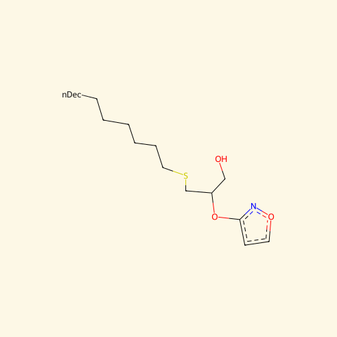 CCCCCCCCCCCCCCCCSCC(CO)Oc1ccon1